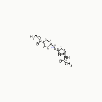 COC(=O)c1ccc(/C=C/c2csc(NC(C)=O)n2)cc1